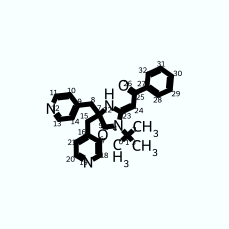 CC(C)(C)N1C(=O)C(Cc2ccncc2)(Cc2ccncc2)N/C1=C\C(=O)c1ccccc1